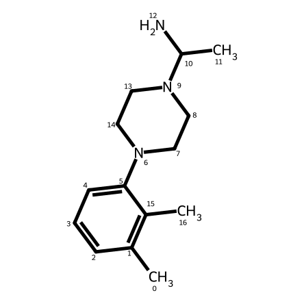 Cc1cccc(N2CCN(C(C)N)CC2)c1C